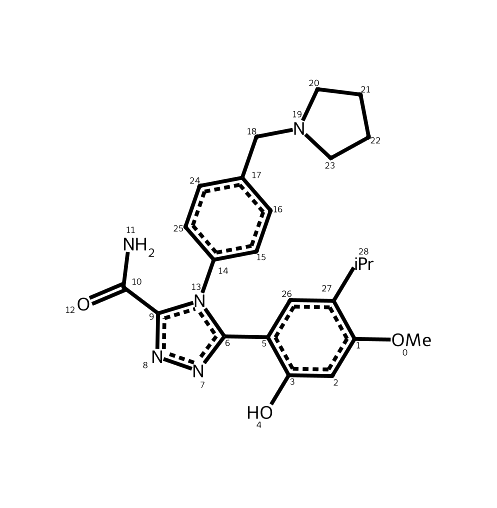 COc1cc(O)c(-c2nnc(C(N)=O)n2-c2ccc(CN3CCCC3)cc2)cc1C(C)C